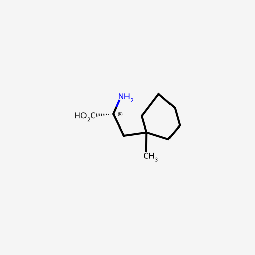 CC1(C[C@@H](N)C(=O)O)CCCCC1